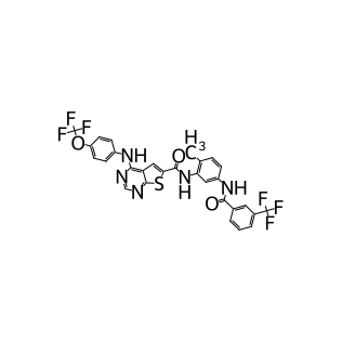 Cc1ccc(NC(=O)c2cccc(C(F)(F)F)c2)cc1NC(=O)c1cc2c(Nc3ccc(OC(F)(F)F)cc3)ncnc2s1